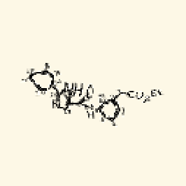 CCOC(=O)Cc1cccc(NC(=O)c2cnc(-c3ccccc3)[nH]2)c1